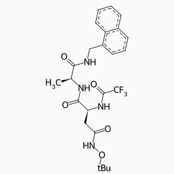 C[C@H](NC(=O)[C@H](CC(=O)NOC(C)(C)C)NC(=O)C(F)(F)F)C(=O)NCc1cccc2ccccc12